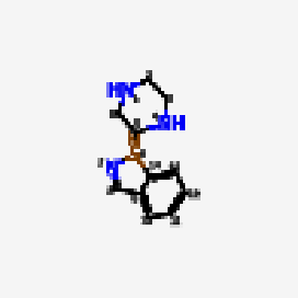 [CH]1NCCNC1[SH]1N=Cc2ccccc21